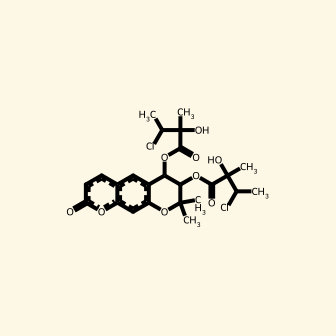 CC(Cl)C(C)(O)C(=O)OC1c2cc3ccc(=O)oc3cc2OC(C)(C)C1OC(=O)C(C)(O)C(C)Cl